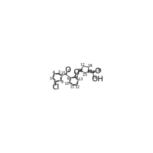 O=C(c1cccc(Cl)c1)c1ccccc1O[C@H]1CC[C@H](C(=O)O)C1